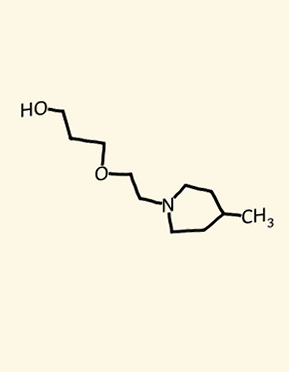 CC1CCN(CCOCCCO)CC1